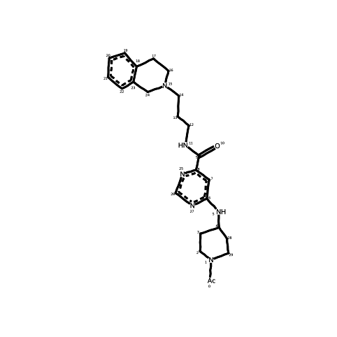 CC(=O)N1CCC(Nc2cc(C(=O)NCCCN3CCc4ccccc4C3)ncn2)CC1